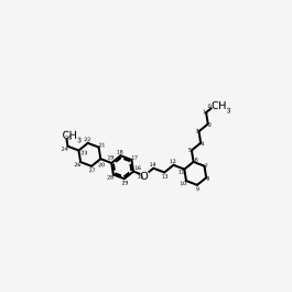 CCCCCCC1CCCCC1CCCOc1ccc(C2CCC(CC)CC2)cc1